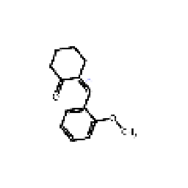 COc1ccccc1/C=C1/CCCCC1=O